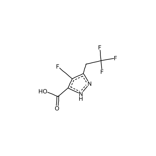 O=C(O)c1[nH]nc(CC(F)(F)F)c1F